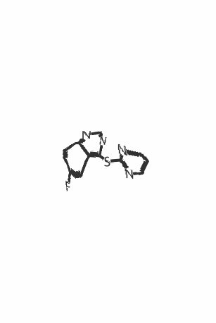 Fc1ccc2ncnc(Sc3ncccn3)c2c1